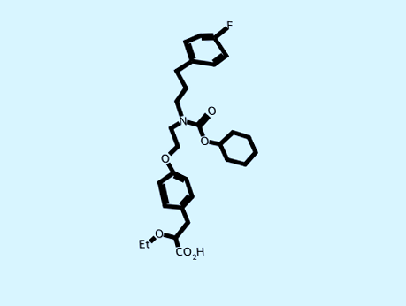 CCOC(Cc1ccc(OCCN(CCCc2ccc(F)cc2)C(=O)OC2CCCCC2)cc1)C(=O)O